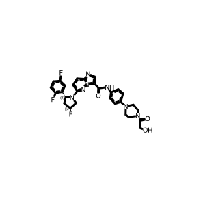 O=C(Nc1ccc(N2CCN(C(=O)CO)CC2)cc1)c1cnc2ccc(N3C[C@@H](F)C[C@@H]3c3cc(F)ccc3F)nn12